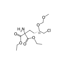 CCOC(=O)C(N)(CC[C@@H](CCl)OCOC)C(=O)OCC